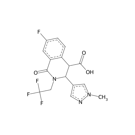 Cn1cc(C2C(C(=O)O)c3ccc(F)cc3C(=O)N2CC(F)(F)F)cn1